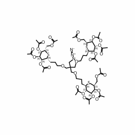 CC(=O)OC[C@@H]1S[C@H](CCCOCC(CN=[N+]=[N-])(COCCC[C@H]2S[C@@H](COC(C)=O)[C@@H](OC(C)=O)[C@H](OC(C)=O)[C@H]2OC(C)=O)COCCC[C@H]2S[C@@H](COC(C)=O)[C@@H](OC(C)=O)[C@H](OC(C)=O)[C@@H]2OC(C)=O)[C@H](OC(C)=O)[C@@H](OC(C)=O)[C@@H]1OC(C)=O